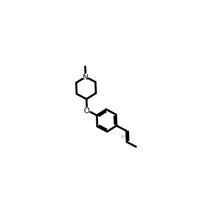 C/C=C/c1ccc(OC2CCN(C)CC2)cc1